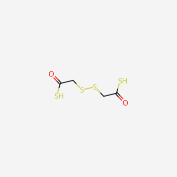 O=C(S)CSSCC(=O)S